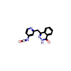 O=C=Nc1ccnc(Cc2n[nH]c(=O)c3ccccc23)c1